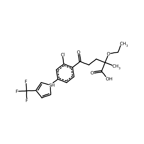 CCOC(C)(CCC(=O)c1ccc([SH]2C=CC(C(F)(F)F)=C2)cc1Cl)C(=O)O